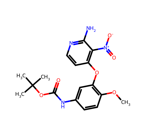 COc1ccc(NC(=O)OC(C)(C)C)cc1Oc1ccnc(N)c1[N+](=O)[O-]